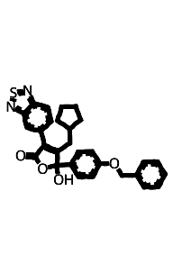 O=C1OC(O)(c2ccc(OCc3ccccc3)cc2)C(CC2CCCC2)=C1c1ccc2nsnc2c1